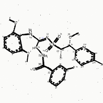 COc1cccc(OC)c1N/C(=N/S(=O)(=O)[C@@H](C)[C@H](OC)c1ncc(C)cn1)NNC(=O)c1cccc(F)c1